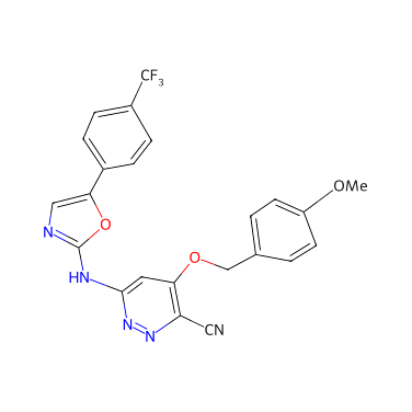 COc1ccc(COc2cc(Nc3ncc(-c4ccc(C(F)(F)F)cc4)o3)nnc2C#N)cc1